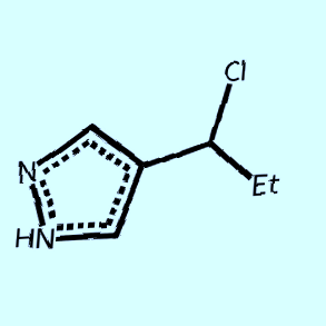 CCC(Cl)c1cn[nH]c1